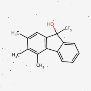 Cc1cc2c(c(C)c1C)-c1ccccc1C2(O)C(F)(F)F